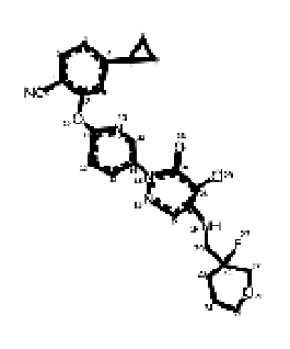 N#Cc1ccc(C2CC2)cc1Oc1ccc(-n2ncc(NCC3(F)CCCOC3)c(Cl)c2=O)cn1